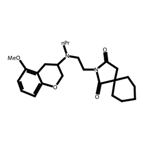 CCCN(CCN1C(=O)CC2(CCCCC2)C1=O)C1COc2cccc(OC)c2C1